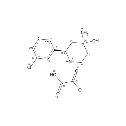 C[C@]1(O)CCN[C@@H](c2cccc(Cl)c2)C1.O=C(O)C(=O)O